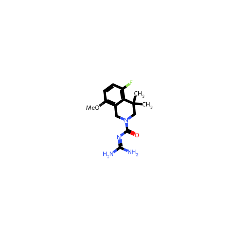 COc1ccc(F)c2c1CN(C(=O)N=C(N)N)CC2(C)C